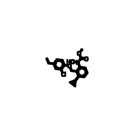 CCc1ccc(OCc2c(C3CC3)cccc2N(O)C(=O)OC)c(Cl)c1